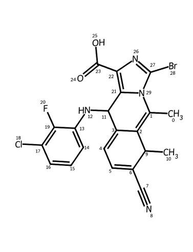 CC1=C2C(=CC=C(C#N)C2C)C(Nc2cccc(Cl)c2F)c2c(C(=O)O)nc(Br)n21